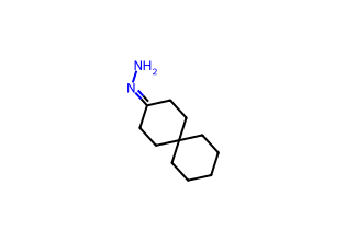 NN=C1CCC2(CCCCC2)CC1